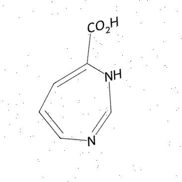 O=C(O)C1=CC=CN=CN1